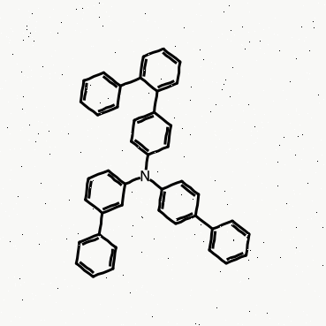 c1ccc(-c2ccc(N(c3ccc(-c4ccccc4-c4ccccc4)cc3)c3cccc(-c4ccccc4)c3)cc2)cc1